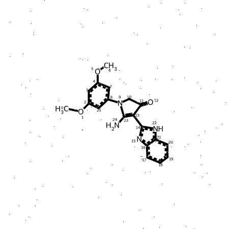 COc1cc(OC)cc(N2CC(=O)C(c3nc4ccccc4[nH]3)=C2N)c1